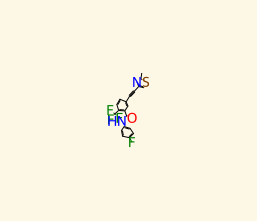 Cc1nc(C#Cc2ccc(C(F)(F)F)c(C(=O)Nc3ccc(F)cc3)c2)cs1